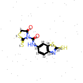 O=C1CSC(=S)N1C(=O)Nc1ccc2nc(S)sc2c1